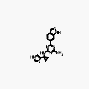 Nc1nc(NC2(c3c[nH]cn3)CC2)nc(-c2ccc3cn[nH]c3c2)n1